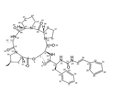 C[C@@H]1C[C@H]2C(=O)O[C@@H](C)[C@H](NC(=O)[C@H](Cc3ccccc3)NC(=O)N/C=C/c3ccccc3)C(=O)N3CCC[C@H]3C(=O)N3CCCC[C@H]3C(=O)N[C@@H](C)C(=O)N2C1